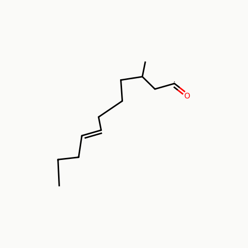 CCCC=CCCCC(C)C[C]=O